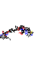 Cc1ncsc1-c1ccc([C@H](C)NC(=O)[C@@H]2C[C@@H](O)CN2C(=O)[C@@H](NC(=O)OCCCCc2cccc(OC[C@H](CCC(N)=O)NC(=O)OC(C)(C)C)c2F)C(C)(C)C)cc1